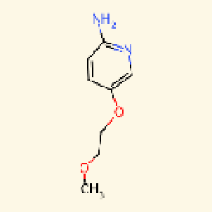 COCCOc1ccc(N)nc1